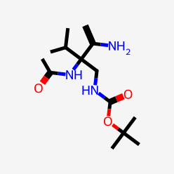 C=C(N)C(CNC(=O)OC(C)(C)C)(NC(C)=O)C(C)C